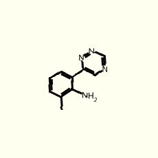 Cc1cccc(-c2cncnn2)c1N